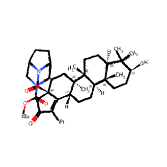 CC(=O)O[C@H]1CC[C@]2(C)[C@H]3CC[C@@H]4C5=C(C(C)C)C(=O)C[C@]5(C(=O)N5C6CCC5CN(C(=O)OC(C)(C)C)C6)CC[C@@]4(C)[C@]3(C)CC[C@H]2C1(C)C